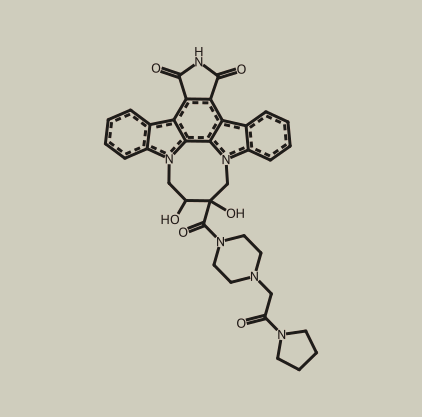 O=C1NC(=O)c2c1c1c3ccccc3n3c1c1c2c2ccccc2n1CC(O)(C(=O)N1CCN(CC(=O)N2CCCC2)CC1)C(O)C3